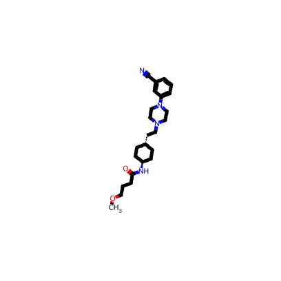 COCCCC(=O)N[C@H]1CC[C@H](CCN2CCN(c3cccc(C#N)c3)CC2)CC1